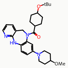 COC1CCN(c2ccc3c(c2)N(C(=O)C2CCC(OC(C)(C)C)CC2)Cc2cccnc2N3)CC1